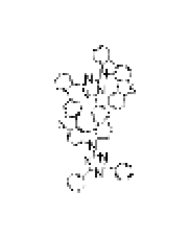 c1ccc(-c2nc(-c3ccccc3)nc(-n3c4ccccc4c4c5c(ccc43)sc3cc(-c4ccccc4-c4nc(-c6ccccc6)nc(-n6c7ccccc7c7ccc8sc9ccccc9c8c76)n4)ccc35)n2)cc1